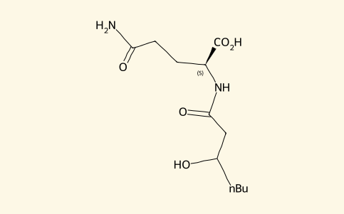 CCCCC(O)CC(=O)N[C@@H](CCC(N)=O)C(=O)O